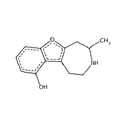 CC1Cc2oc3cccc(O)c3c2CCN1